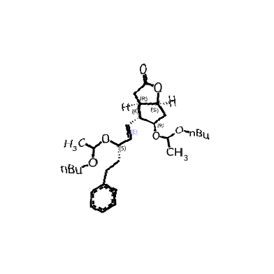 CCCCOC(C)O[C@H](/C=C/[C@@H]1[C@H]2CC(=O)O[C@H]2C[C@H]1OC(C)OCCCC)CCc1ccccc1